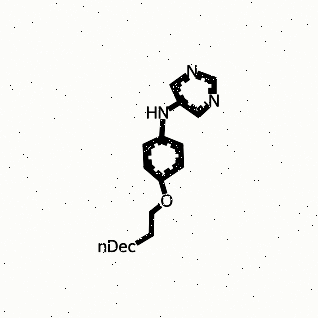 CCCCCCCCCCCCOc1ccc(Nc2cncnc2)cc1